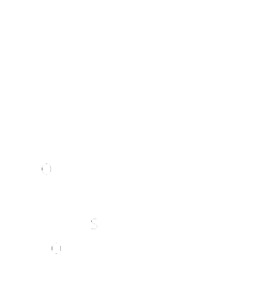 O=[S+]C(=O)C(c1ccccc1)c1ccccc1